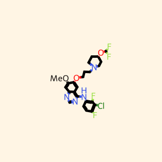 COc1cc2ncnc(Nc3ccc(F)c(Cl)c3F)c2cc1OCCCN1CCC(OC(F)F)CC1